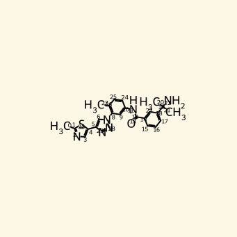 Cc1ncc(-c2cn(-c3cc(NC(=O)c4cccc(C(C)(C)N)c4)ccc3C)nn2)s1